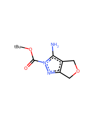 CC(C)(C)OC(=O)n1nc2c(c1N)COC2